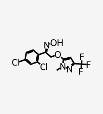 Cn1nc(C(F)(F)F)cc1OCC(=NO)c1ccc(Cl)cc1Cl